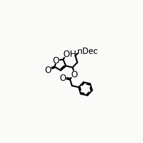 CCCCCCCCCCCCC(OC(=O)Cc1ccccc1)C1=CC(=O)OC1O